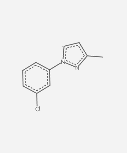 Cc1c[c]n(-c2cccc(Cl)c2)n1